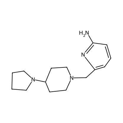 Nc1cccc(CN2CCC(N3CCCC3)CC2)n1